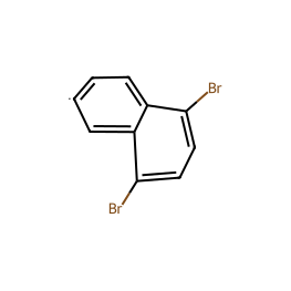 Brc1ccc(Br)c2cc[c]cc12